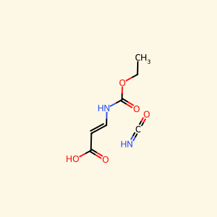 CCOC(=O)NC=CC(=O)O.N=C=O